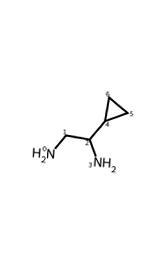 NCC(N)C1CC1